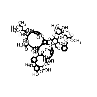 CN[C@H](CC(C)C)C(=O)NC1C(=O)NC(C(N)=O)CC(=O)N[C@H]2C(=O)NC3C(=O)N[C@H](C(=O)N[C@@H](C(=O)O)c4cc(O)cc(O)c4-c4cc3ccc4O)[C@H](O)c3ccc(c(Cl)c3)Oc3cc2cc(c3OC2OC(CO)C(O)C(O)C2OC2CC(C)(NCC(OCc3ccccc3)C(=O)OC)C(O)C(C)O2)Oc2ccc(cc2Cl)[C@H]1O